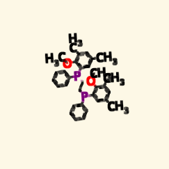 COc1c(C)cc(C)cc1[P@](CC[P@](c1ccccc1)c1cc(C)cc(C)c1OC)c1ccccc1